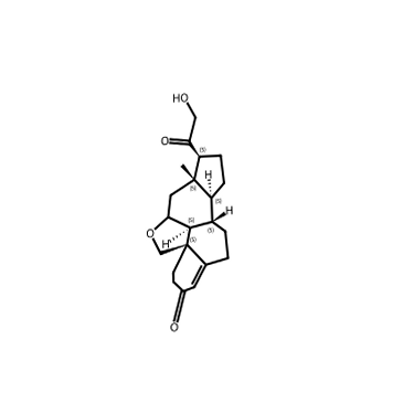 C[C@]12CC3OC[C@]45CCC(=O)C=C4CC[C@H]([C@H]35)[C@@H]1CC[C@@H]2C(=O)CO